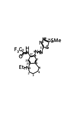 CCN1CCCCc2cc(N=Nc3nnc(SC)s3)c(NC(=O)C(F)(F)F)cc21